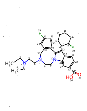 CCN(CC)CCN1CCn2c(c([C@@H]3CCCC[C@H]3F)c3ccc(C(=O)O)cc32)-c2ccc(F)cc2C1